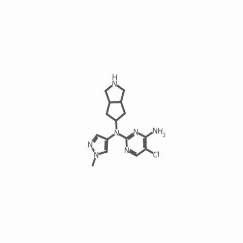 Cn1cc(N(c2ncc(Cl)c(N)n2)C2CC3CNCC3C2)cn1